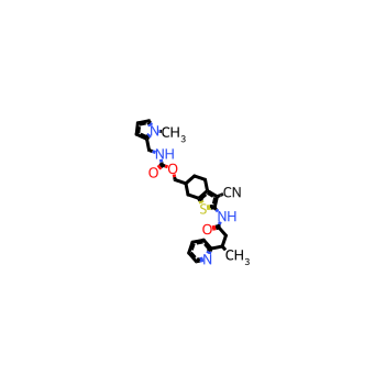 CC(CC(=O)Nc1sc2c(c1C#N)CCC(COC(=O)NCc1cccn1C)C2)c1ccccn1